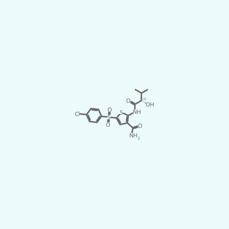 CC(C)[C@H](O)C(=O)Nc1sc(S(=O)(=O)c2ccc(Cl)cc2)cc1C(N)=O